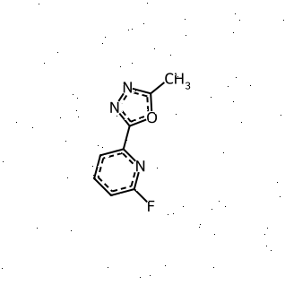 Cc1nnc(-c2cccc(F)n2)o1